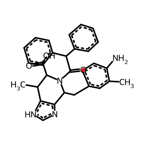 Cc1cc(CC2c3nc[nH]c3C(C)C(C(=O)O)N2C(=O)C(c2ccccc2)c2ccccc2)ccc1N